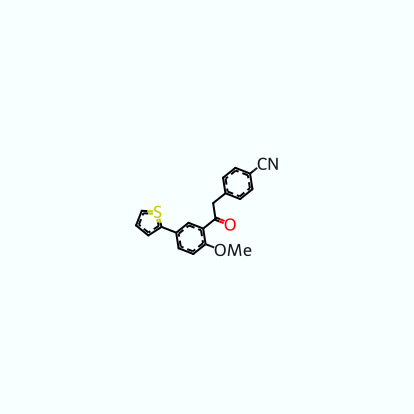 COc1ccc(-c2cccs2)cc1C(=O)Cc1ccc(C#N)cc1